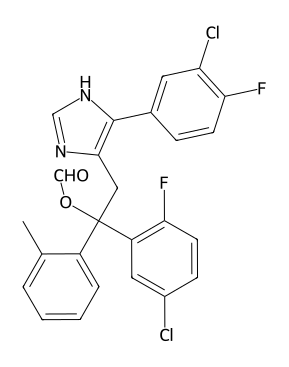 Cc1ccccc1C(Cc1nc[nH]c1-c1ccc(F)c(Cl)c1)(OC=O)c1cc(Cl)ccc1F